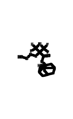 O=C(OC12CC3CC(C1)C(O)C(C3)C2)C(SOOO)(C(F)(F)F)C(F)(F)F